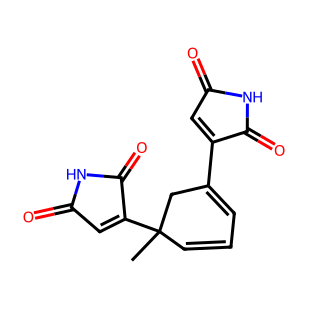 CC1(C2=CC(=O)NC2=O)C=CC=C(C2=CC(=O)NC2=O)C1